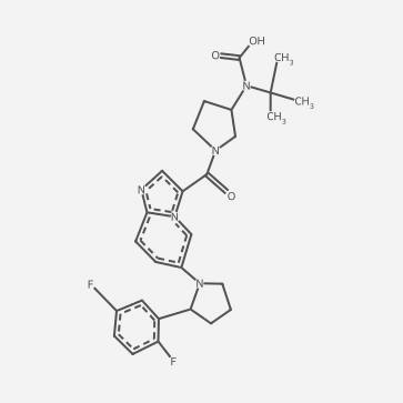 CC(C)(C)N(C(=O)O)C1CCN(C(=O)c2cnc3ccc(N4CCCC4c4cc(F)ccc4F)cn23)C1